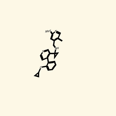 CSc1cc(CNC2(c3cnccc3-c3ccccc3OC3CC3)CC2)c(C)cn1